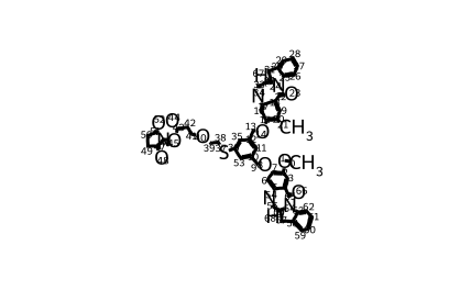 COc1cc2c(cc1OCc1cc(COc3cc4c(cc3C)C(=O)N3c5ccccc5C[C@H]3C=N4)cc(SCCOCCC(=O)ON3C(=O)CCC3=O)c1)N=C[C@@H]1Cc3ccccc3N1C2=O